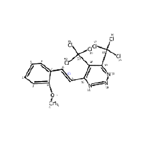 COc1ccccc1/C=C/c1nnnc(C(Cl)(Cl)Cl)c1C(Cl)(Cl)Cl